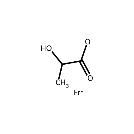 CC(O)C(=O)[O-].[Fr+]